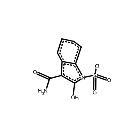 NC(=O)c1c(O)n(S(=O)(=O)Cl)c2ccccc12